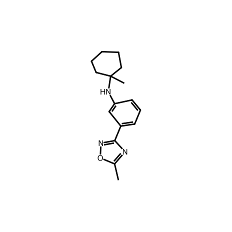 Cc1nc(-c2cccc(NC3(C)CCCCC3)c2)no1